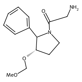 COCO[C@H]1CCN(C(=O)CN)C1c1ccccc1